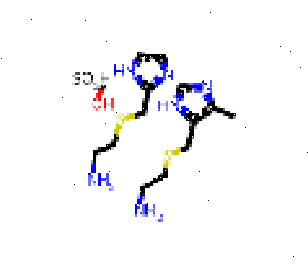 Cc1nc[nH]c1CSCCN.NCCSCc1ncc[nH]1.O=S(=O)(O)O